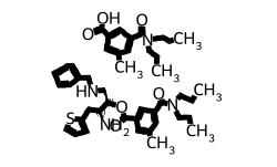 CCCN(CCC)C(=O)c1cc(C)cc(C(=O)O)c1.CCCN(CCC)C(=O)c1cc(C)cc(C(=O)O[C@H](CNCc2ccccc2)[C@@H](N)Cc2cccs2)c1